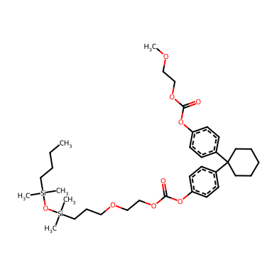 CCCC[Si](C)(C)O[Si](C)(C)CCCOCCOC(=O)Oc1ccc(C2(c3ccc(OC(=O)OCCOC)cc3)CCCCC2)cc1